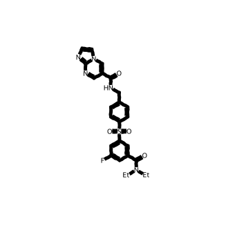 CCN(CC)C(=O)c1cc(F)cc(S(=O)(=O)c2ccc(CNC(=O)c3cnc4nccn4c3)cc2)c1